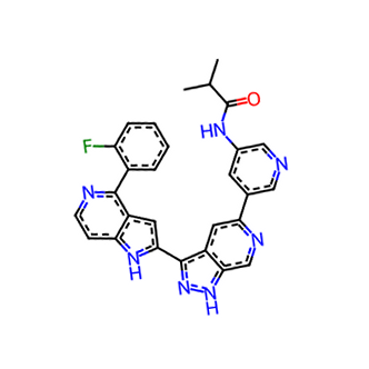 CC(C)C(=O)Nc1cncc(-c2cc3c(-c4cc5c(-c6ccccc6F)nccc5[nH]4)n[nH]c3cn2)c1